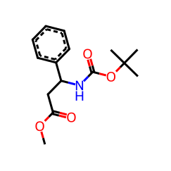 COC(=O)CC(NC(=O)OC(C)(C)C)c1ccccc1